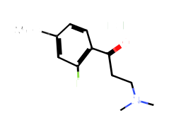 COc1ccc(C(=O)CCN(C)C)c(F)c1.Cl